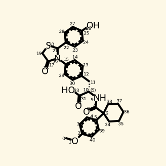 COc1ccc(C2(C(=O)N[C@@H](Cc3ccc(N4C(=O)CSC4c4ccc(O)cc4)cc3)C(=O)O)CCCCC2)cc1